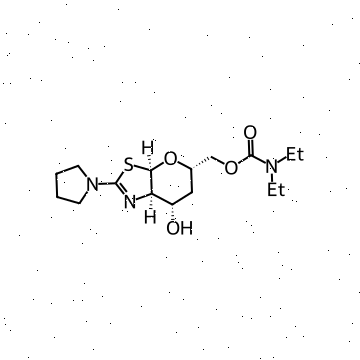 CCN(CC)C(=O)OC[C@@H]1C[C@H](O)[C@H]2N=C(N3CCCC3)S[C@H]2O1